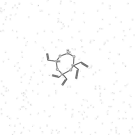 C=C[SiH]1O[SiH2]O[Si](C=C)(C=C)O[Si](C=C)(C=C)O1